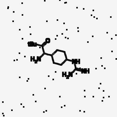 CC(C)(C)C(=O)C(N)C1CCC(NC(=N)N)CC1